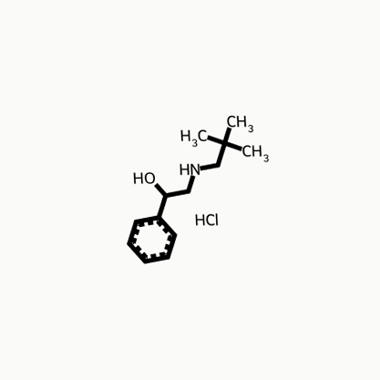 CC(C)(C)CNCC(O)c1ccccc1.Cl